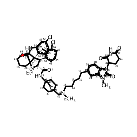 CCN1[C@@H](C(=O)NC23CCC(CN(C)CCCCCc4ccc5c(c4)n(C)c(=O)n5C4CCC(=O)NC4=O)(CC2)CC3)[C@H](c2cccc(Cl)c2F)[C@]2(C(=O)Nc3cc(Cl)ccc32)C12CCCCC2